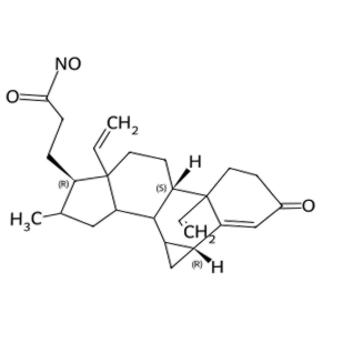 C=CC12CCC(=O)C=C1[C@@H]1CC1C1C3CC(C)[C@@H](CCC(=O)N=O)C3(C=C)CC[C@@H]12